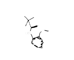 COc1ccccc1NC(=O)C(C)(C)C